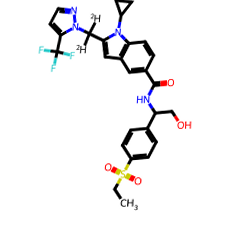 [2H]C([2H])(c1cc2cc(C(=O)NC(CO)c3ccc(S(=O)(=O)CC)cc3)ccc2n1C1CC1)n1nccc1C(F)(F)F